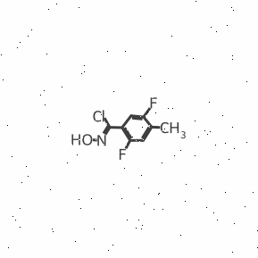 Cc1cc(F)c(/C(Cl)=N/O)cc1F